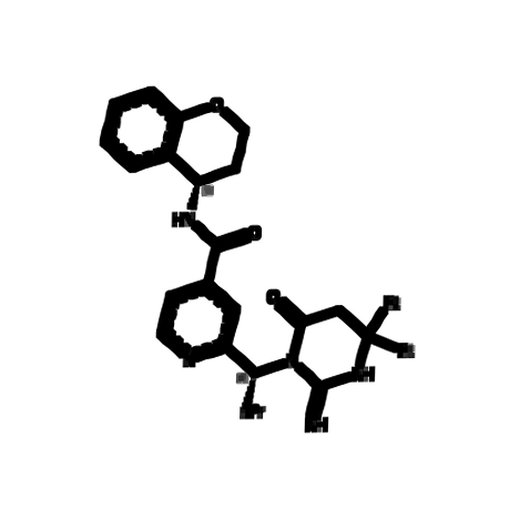 CCC[C@H](c1cc(C(=O)N[C@H]2CCOc3ccccc32)ccn1)N1C(=N)NC(CC)(CC)CC1=O